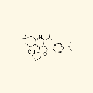 CC(C)c1ccc([C@H]2OC3(CCCC3)c3c4c(nc(C(C)C)c32)CC(C)(C)CC4O)cc1